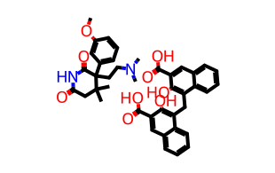 COc1cccc(C2(CCN(C)C)C(=O)NC(=O)CC2(C)C)c1.O=C(O)c1cc2ccccc2c(Cc2c(O)c(C(=O)O)cc3ccccc23)c1O